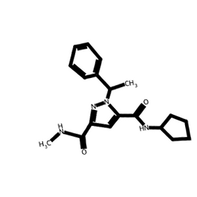 CNC(=O)c1cc(C(=O)NC2CCCC2)n(C(C)c2ccccc2)n1